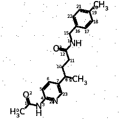 CC(=O)Nc1ccc(C(C)CCC(=O)NCc2ccc(C)cc2)cn1